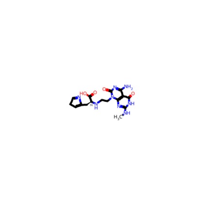 CNc1nc2c(c(N)nc(=O)n2CCN[C@@H](CC2=CCC=N2)C(=O)O)c(=O)[nH]1